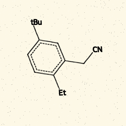 CCc1ccc(C(C)(C)C)cc1CC#N